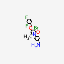 Cc1cc(OCc2ccc(F)cc2F)c(Br)c(=O)n1-c1ccc(CN)cc1